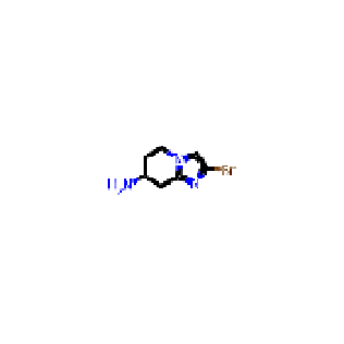 NC1CCn2cc(Br)nc2C1